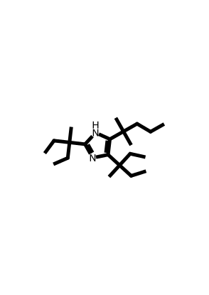 CCCC(C)(C)c1[nH]c(C(C)(CC)CC)nc1C(C)(CC)CC